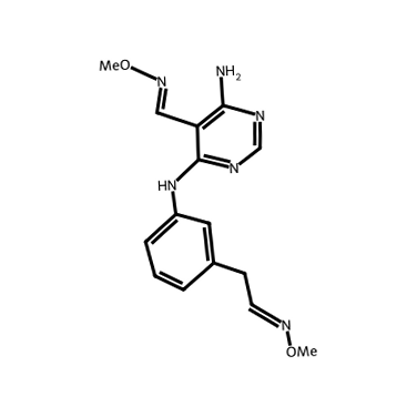 CON=CCc1cccc(Nc2ncnc(N)c2C=NOC)c1